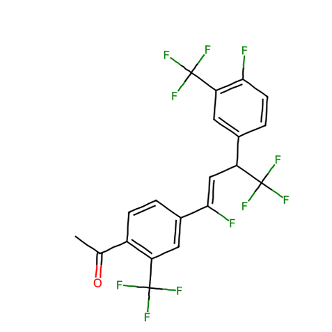 CC(=O)c1ccc(/C(F)=C/C(c2ccc(F)c(C(F)(F)F)c2)C(F)(F)F)cc1C(F)(F)F